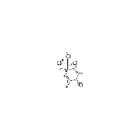 CC1=CC(C)(C(Cl)(Cl)Cl)C=CC1=O